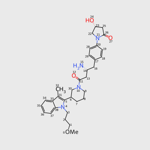 COCCCn1c(C2CCCN(C(=O)C[C@H](N)Cc3ccc(N4C[C@H](O)CC4=O)cc3)C2)c(C)c2ccccc21